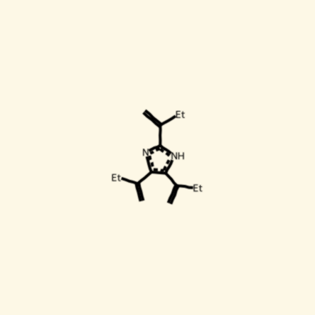 C=C(CC)c1nc(C(=C)CC)c(C(=C)CC)[nH]1